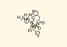 CCC(NC(=O)N1C(=O)[C@H](Cc2ccnc(N)c2)[C@H]1C(=O)N(C)c1ccn(C)n1)c1ccsc1